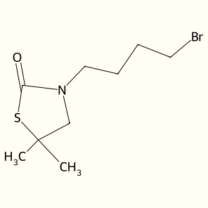 CC1(C)CN(CCCCBr)C(=O)S1